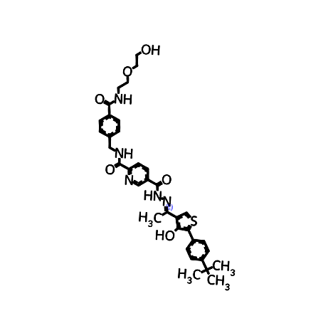 C/C(=N\NC(=O)c1ccc(C(=O)NCc2ccc(C(=O)NCCOCCO)cc2)nc1)c1csc(-c2ccc(C(C)(C)C)cc2)c1O